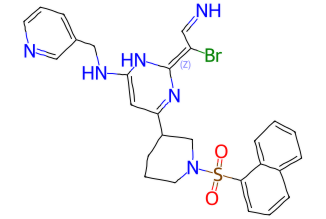 N=C/C(Br)=C1/N=C(C2CCCN(S(=O)(=O)c3cccc4ccccc34)C2)C=C(NCc2cccnc2)N1